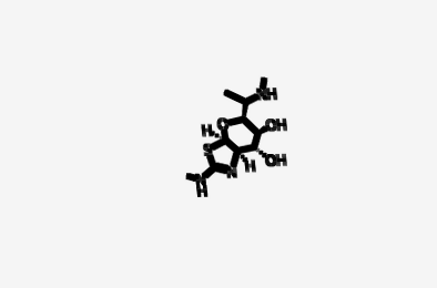 CNC1=N[C@@H]2[C@@H](O)[C@H](O)[C@H](C(C)NC)O[C@@H]2S1